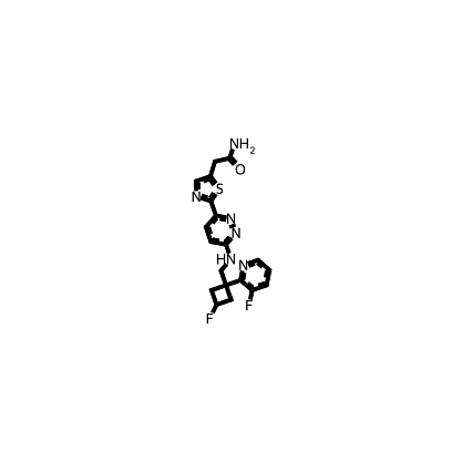 NC(=O)Cc1cnc(-c2ccc(NCC3(c4ncccc4F)CC(F)C3)nn2)s1